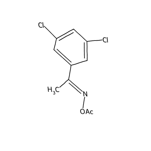 CC(=O)ON=C(C)c1cc(Cl)cc(Cl)c1